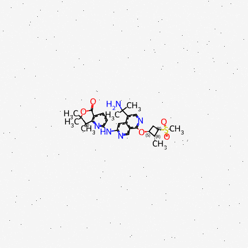 C[C@@H]1[C@@H](Oc2ncc(C(C)(C)N)c3cc(Nc4ccc5c(n4)[C@@H](C)C(C)(C)OC5=O)ncc23)C[C@H]1S(C)(=O)=O